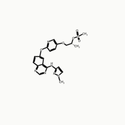 C[C@H](COc1ccc(Oc2ccc3ncnc(Nc4ccn(C)n4)c3c2)nc1)OS(C)(=O)=O